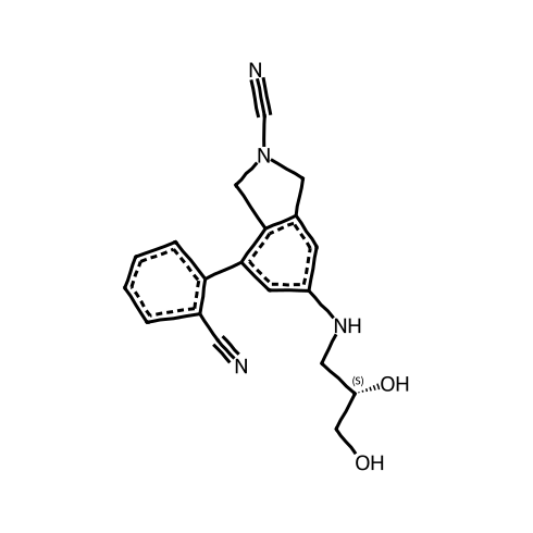 N#Cc1ccccc1-c1cc(NC[C@H](O)CO)cc2c1CN(C#N)C2